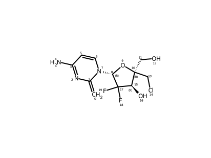 C=C1N=C(N)C=CN1[C@@H]1O[C@@](CO)(CCl)[C@@H](O)C1(F)F